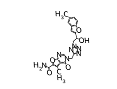 Cc1ccc2oc([C@@H](O)Cn3nnc(Cn4cnc5oc(C(N)=O)c(C)c5c4=O)n3)cc2c1